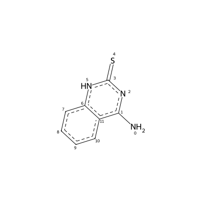 Nc1nc(=S)[nH]c2ccccc12